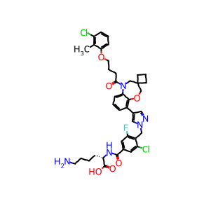 Cc1c(Cl)cccc1OCCCC(=O)N1CC2(CCC2)COc2c(-c3cnn(Cc4c(F)cc(C(=O)N[C@@H](CCCCN)C(=O)O)cc4Cl)c3)cccc21